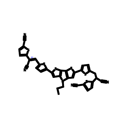 CCCn1c2cc(-c3ccc(/C=C(\C#N)c4ccc(C#N)s4)s3)sc2c2sc(-c3ccc(CC(C#N)c4ccc(C#N)s4)s3)cc21